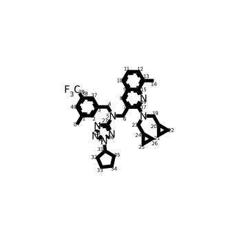 Cc1cc(CN(Cc2cc3cccc(C)c3nc2N(CC2CC2)CC2CC2)c2nnn(C3CCCC3)n2)cc(C(F)(F)F)c1